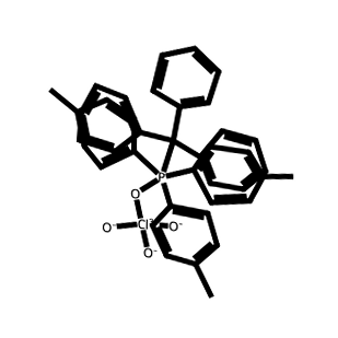 Cc1ccc(P(O[Cl+3]([O-])([O-])[O-])(c2ccc(C)cc2)(c2ccc(C)cc2)C(c2ccccc2)(c2ccccc2)c2ccccc2)cc1